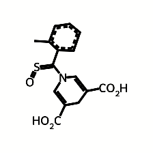 Cc1ccccc1C(=S=O)N1C=C(C(=O)O)CC(C(=O)O)=C1